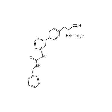 CCOC(=O)N[C@@H](Cc1ccc(-c2cccc(NC(=O)NCc3cccnc3)c2)cc1)C(=O)O